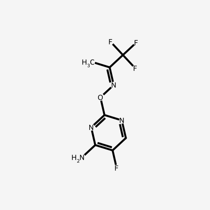 C/C(=N\Oc1ncc(F)c(N)n1)C(F)(F)F